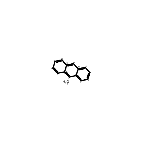 O.c1ccc2cc3ccccc3cc2c1